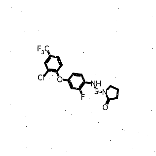 O=C1CCCN1SNc1ccc(Oc2ccc(C(F)(F)F)cc2Cl)cc1F